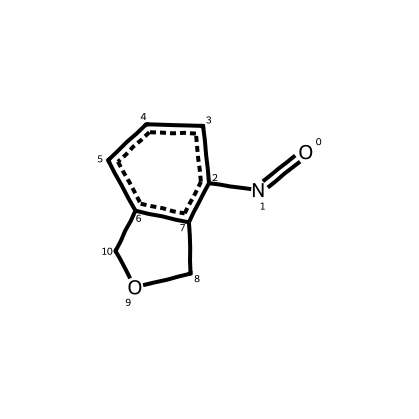 O=Nc1cccc2c1COC2